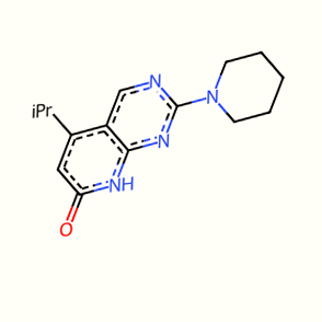 CC(C)c1cc(=O)[nH]c2nc(N3CCCCC3)ncc12